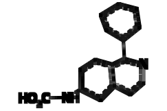 O=C(O)Nc1ccc2c(-c3ccccc3)nccc2c1